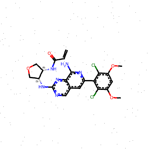 C=CC(=O)N[C@H]1COC[C@H]1Nc1ncc2cc(-c3c(Cl)c(OC)cc(OC)c3Cl)nc(N)c2n1